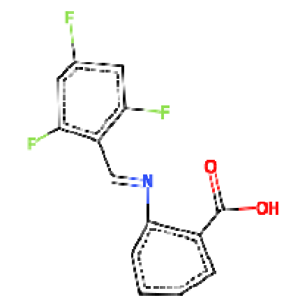 O=C(O)c1ccccc1/N=C/c1c(F)cc(F)cc1F